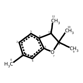 Cc1ccc2c(c1)OC(C)(C)C2C